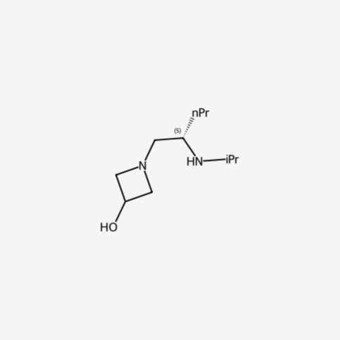 CCC[C@@H](CN1CC(O)C1)NC(C)C